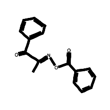 C/C(=N\OC(=O)c1ccccc1)C(=O)c1ccccc1